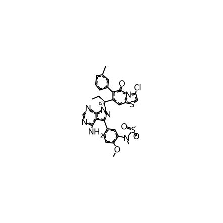 CC[C@@H](c1cc2scc(Cl)n2c(=O)c1-c1cccc(C)c1)n1nc(-c2ccc(OC)c(N(C)S(C)(=O)=O)c2)c2c(N)ncnc21